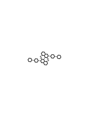 c1ccc(-c2ccc(-c3cc4cccc5sc6c(-c7ccc(-c8ccccc8)cc7)cc7cccc8sc3c(c45)-c6c78)cc2)cc1